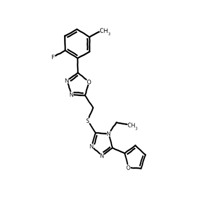 CCn1c(SCc2nnc(-c3cc(C)ccc3F)o2)nnc1-c1ccco1